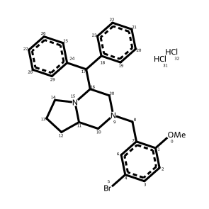 COc1ccc(Br)cc1CN1CC2CCCN2C(C(c2ccccc2)c2ccccc2)C1.Cl.Cl